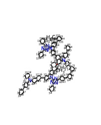 CC1(C)c2ccccc2-c2cc3c4cc(-c5ccc6cc(N(c7ccccc7)c7ccc(-c8ccccc8)cc7)ccc6c5)ccc4n(-c4nc(-c5ccccc5)nc(-c5ccc(-c6cccc(-c7cccc(-c8ccc(N(c9ccc(-c%10ccccc%10)cc9)c9cccc%10cc(-c%11ccc%12c(c%11)c%11cc%13c(cc%11n%12-c%11nc(-c%12ccccc%12)nc(-c%12ccccc%12)n%11)C(C)(C)c%11ccccc%11-%13)ccc9%10)cc8)c7)c6)cc5)n4)c3cc21